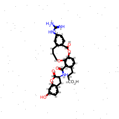 N=C(N)Nc1ccc2c(c1)CCCOc1c(ccc(CCC(=O)O)c1C(=O)N[C@H]1Cc3ccc(O)cc3OC1=O)OC2=O